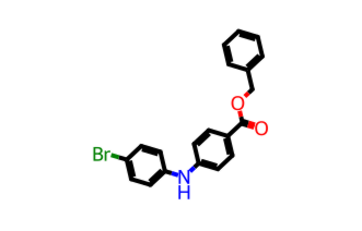 O=C(OCc1ccccc1)c1ccc(Nc2ccc(Br)cc2)cc1